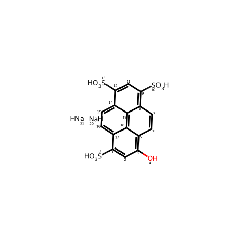 O=S(=O)(O)c1cc(O)c2ccc3c(S(=O)(=O)O)cc(S(=O)(=O)O)c4ccc1c2c34.[NaH].[NaH]